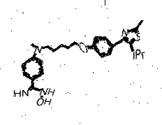 Cc1nc(-c2ccc(OCCCCCN(C)c3ccc(C(=N)NO)cc3)cc2)c(C(C)C)s1